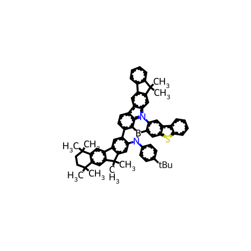 CC(C)(C)c1ccc(N2B3c4cc5sc6ccccc6c5cc4-n4c5cc6c(cc5c5ccc(c3c54)-c3cc4c(cc32)C(C)(C)c2cc3c(cc2-4)C(C)(C)CCC3(C)C)-c2ccccc2C6(C)C)cc1